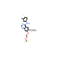 COc1cc2c(Nc3ccc(F)c(C)c3F)ncnc2cc1OCCOC(F)F